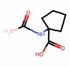 BC(=O)NC1(C(=O)O)CCCC1